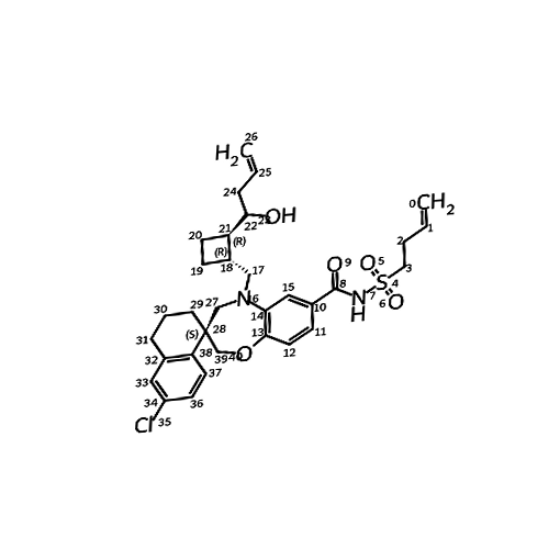 C=CCCS(=O)(=O)NC(=O)c1ccc2c(c1)N(C[C@@H]1CC[C@H]1C(O)CC=C)C[C@@]1(CCCc3cc(Cl)ccc31)CO2